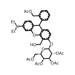 CCN(CC)c1ccc2c(c1)Oc1c(ccc(O[C@@H]3O[C@H](COC(C)=O)[C@H](OC(C)=O)[C@H](OC(C)=O)[C@H]3OC(C)=O)c1CO)C2c1ccccc1COC(C)=O